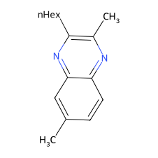 CCCCCCc1nc2cc(C)ccc2nc1C